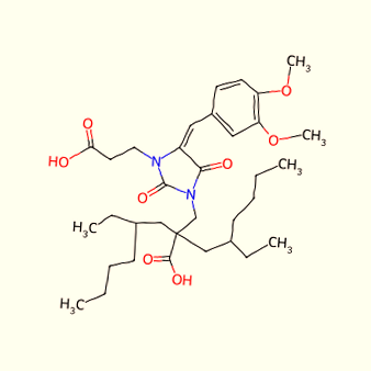 CCCCC(CC)CC(CC(CC)CCCC)(CN1C(=O)C(=Cc2ccc(OC)c(OC)c2)N(CCC(=O)O)C1=O)C(=O)O